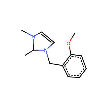 COc1ccccc1CN1C=CN(C)C1C